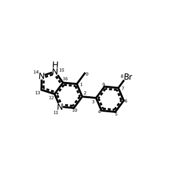 Cc1c(-c2cccc(Br)c2)cnc2cn[nH]c12